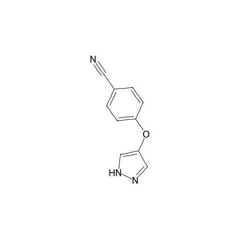 N#Cc1ccc(Oc2cn[nH]c2)cc1